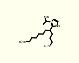 CCCCCCCCCCCCCCCCC(CCCCCCCCCCCCC)c1[nH]cc[n+]1C(C)CCCC